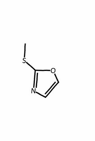 CSc1ncco1